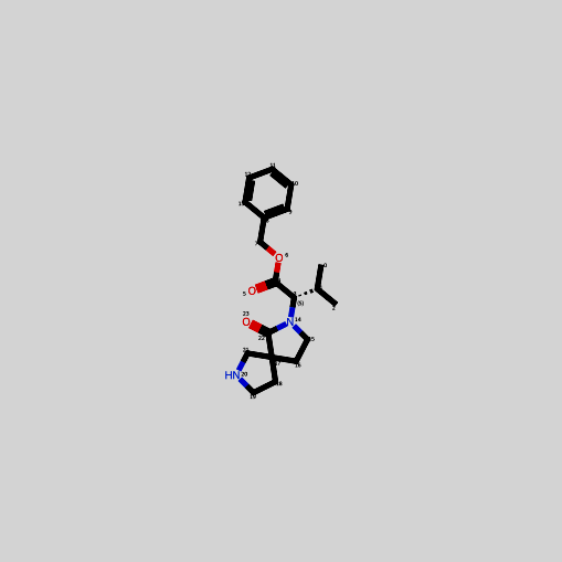 CC(C)[C@@H](C(=O)OCc1ccccc1)N1CCC2(CCNC2)C1=O